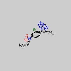 CC(=O)NC[C@H]1CN(c2ccc(C(=N)C[C@H](C)n3cncn3)c(F)c2)C(=O)O1